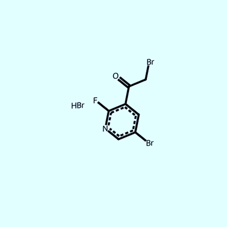 Br.O=C(CBr)c1cc(Br)cnc1F